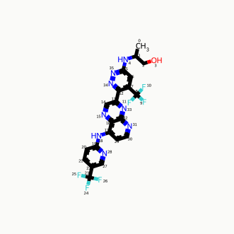 CC(CO)Nc1cc(C(F)(F)F)c(-c2cnc3c(Nc4ccc(C(F)(F)F)cn4)ccnc3n2)nn1